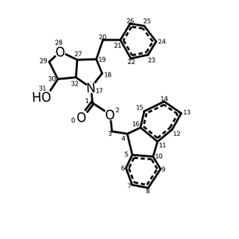 O=C(OCC1c2ccccc2-c2ccccc21)N1CC(Cc2ccccc2)C2OCC(O)C21